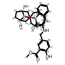 COC(=O)c1cc(CNc2nc3ccccc3n([C@H]3C[C@H]4CC[C@@H](C3)N4C3CCCCCCC3)c2=O)ccc1O